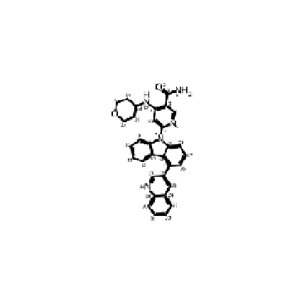 NC(=O)c1cnc(-n2c3ccccc3c3c(-c4cnc5ccccc5c4)cccc32)cc1NC1CCOCC1